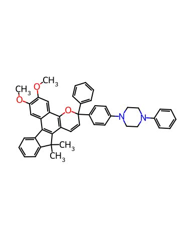 COc1cc2c3c(c4c(c2cc1OC)-c1ccccc1C4(C)C)C=CC(c1ccccc1)(c1ccc(N2CCN(c4ccccc4)CC2)cc1)O3